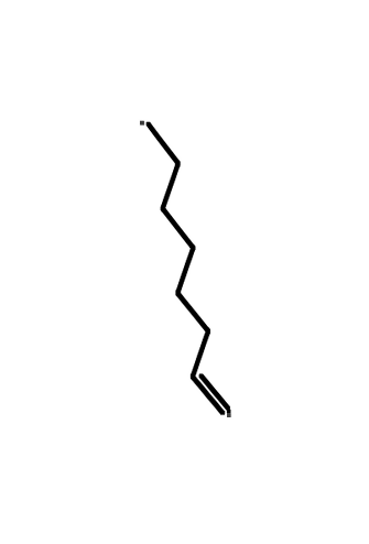 [C]=CCCCCC[CH2]